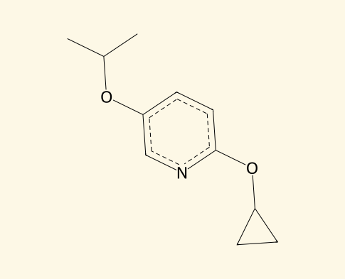 CC(C)Oc1ccc(OC2CC2)nc1